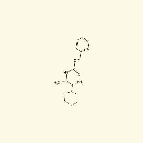 C[C@H](NC(=O)OCc1ccccc1)[C@H](N)C1CCCCC1